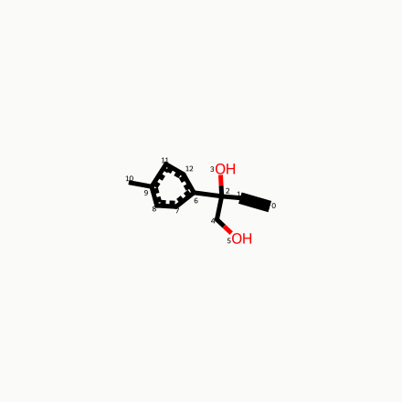 C#CC(O)(CO)c1ccc(C)cc1